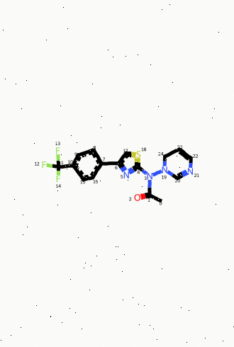 CC(=O)N(c1nc(-c2ccc(C(F)(F)F)cc2)cs1)N1C=NC=CC1